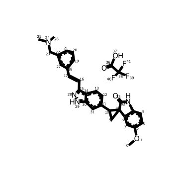 COc1ccc2c(c1)C1(CC1c1ccc3c(/C=C/c4cccc(CN(C)C)c4)n[nH]c3c1)C(=O)N2.O=C(O)C(F)(F)F